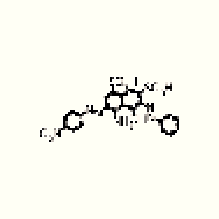 Nc1c(N=Nc2ccc([N+](=O)[O-])cc2)cc(S(=O)(=O)O)c2cc(S(=O)(=O)O)c(N=Nc3ccccc3)c(O)c12